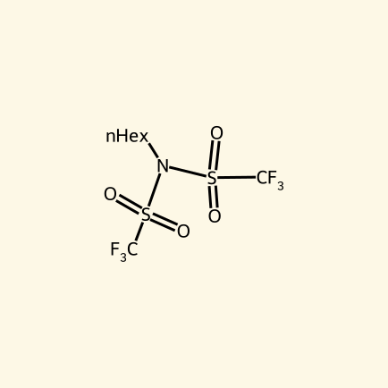 CCCCCCN(S(=O)(=O)C(F)(F)F)S(=O)(=O)C(F)(F)F